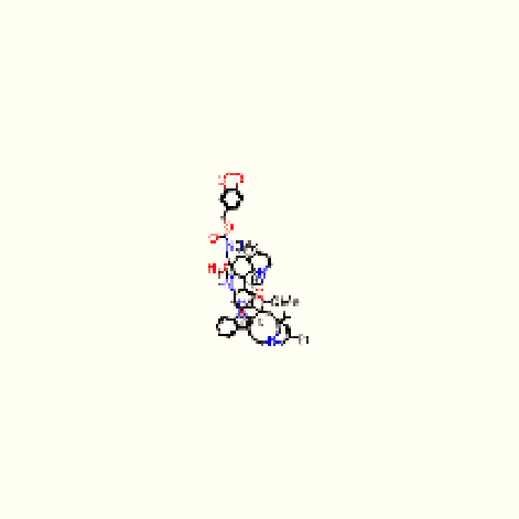 CCC1=C[C@@H]2CN(CCc3c([nH]c4ccccc34)[C@@](C(=O)OC)(c3cc4c(cc3OC)N(C)[C@H]3C(O)(CNC(=O)OCc5ccc6c(c5)OCO6)[C@H](OC(C)=O)[C@]5(CC)C=CCN6CC[C@]43[C@@H]65)C2)C1